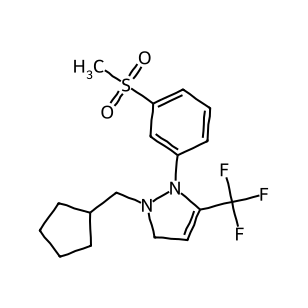 CS(=O)(=O)c1cccc(N2C(C(F)(F)F)=CCN2CC2CCCC2)c1